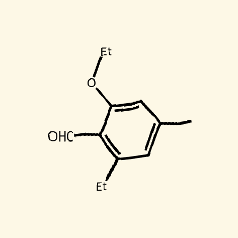 CCOc1cc(C)cc(CC)c1C=O